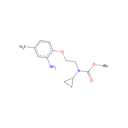 Cc1ccc(OCCN(C(=O)OC(C)(C)C)C2CC2)c(N)c1